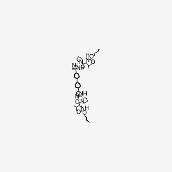 C=CCCOC(=O)N[C@H](C(=O)N1CCC[C@H]1c1ncc(-c2ccc(-c3ccc(-c4cnc([C@@H]5CCCN5C(=O)[C@@H](NC(=O)OCCC=C)C(C)C)[nH]4)cc3)cc2)[nH]1)C(C)C